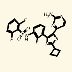 Nc1nccc(-c2sc(C3CCC3)nc2-c2cccc(NS(=O)(=O)c3c(F)cccc3F)c2F)n1